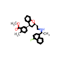 COC(=O)c1cc([C@@H]2C[C@H](CCN[C@H](C)c3ccc(F)c4ccccc34)Oc3ccccc32)ccc1C